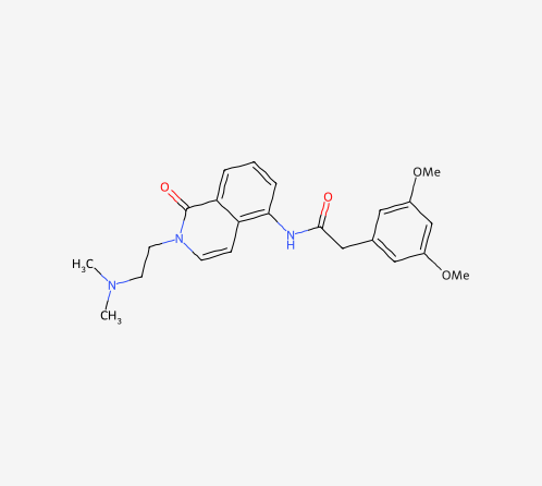 COc1cc(CC(=O)Nc2cccc3c(=O)n(CCN(C)C)ccc23)cc(OC)c1